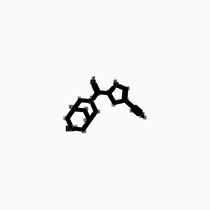 N#CC1=COC(C(=O)N2CC3CNCC(C3)C2)C1